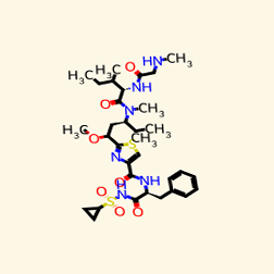 CCC(C)[C@H](NC(=O)CNC)C(=O)N(C)[C@H](CC(OC)c1nc(C(=O)N[C@@H](Cc2ccccc2)C(=O)NS(=O)(=O)C2CC2)cs1)C(C)C